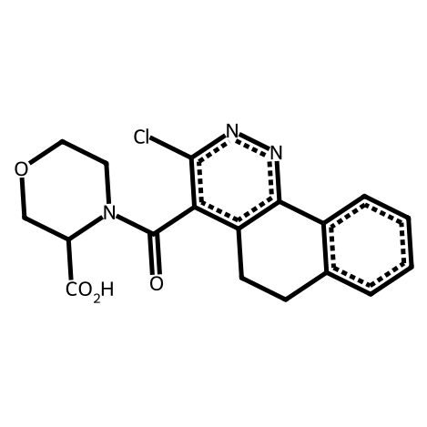 O=C(O)C1COCCN1C(=O)c1c(Cl)nnc2c1CCc1ccccc1-2